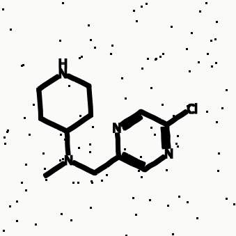 CN(Cc1cnc(Cl)cn1)C1CCNCC1